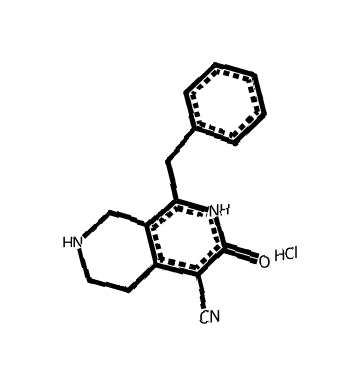 Cl.N#Cc1c2c(c(Cc3ccccc3)[nH]c1=O)CNCC2